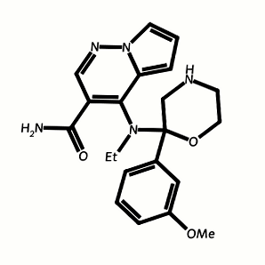 CCN(c1c(C(N)=O)cnn2cccc12)C1(c2cccc(OC)c2)CNCCO1